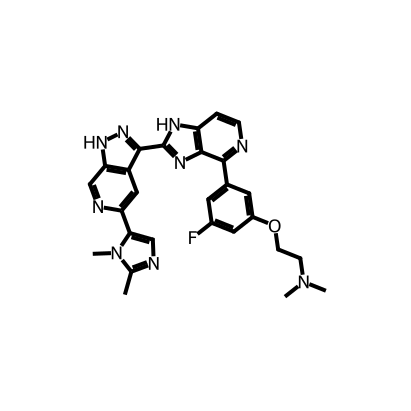 Cc1ncc(-c2cc3c(-c4nc5c(-c6cc(F)cc(OCCN(C)C)c6)nccc5[nH]4)n[nH]c3cn2)n1C